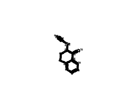 N#C[Se]C1CCc2ccccc2C1=O